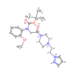 COc1ccccc1N(CC(=O)N1CCN(CCn2cccn2)CC1)C(=O)OC(C)(C)C